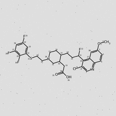 COc1ccc2ncc(Cl)c(C(F)CCC3CCN(CCSc4cc(F)cc(F)c4F)CC3CC(=O)O)c2c1